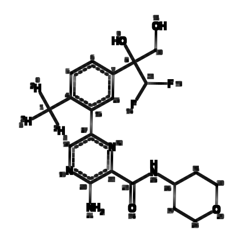 [2H]C([2H])([2H])c1ccc(C(O)(CO)C(F)F)cc1-c1cnc(N)c(C(=O)NC2CCOCC2)n1